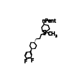 CCCCC[C@H]1CC[Si@](C)(CCCC[C@H]2CC[C@H](c3ccc(F)c(F)c3)CC2)CC1